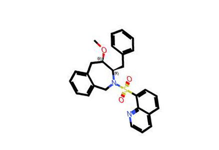 CO[C@@H]1Cc2ccccc2CN(S(=O)(=O)c2cccc3cccnc23)[C@@H]1Cc1ccccc1